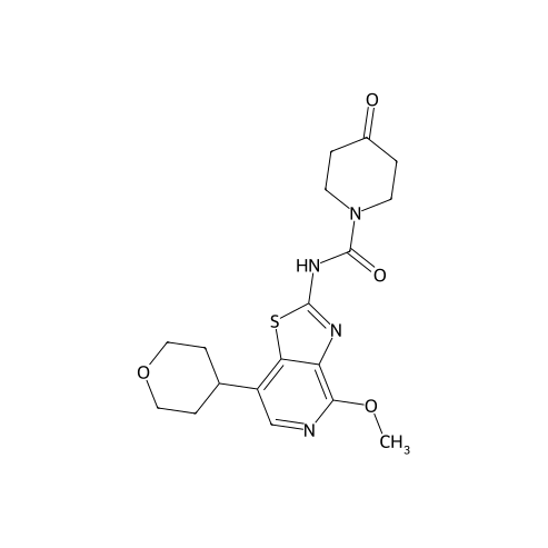 COc1ncc(C2CCOCC2)c2sc(NC(=O)N3CCC(=O)CC3)nc12